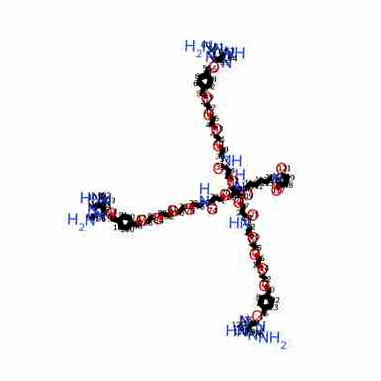 Nc1nc(OCc2ccc(COCCOCCOCCOCCNC(=O)CCOCC(COCCC(=O)NCCOCCOCCOCCOCc3ccc(COc4nc(N)nc5[nH]cnc45)cc3)(COCCC(=O)NCCOCCOCCOCCOCc3ccc(COc4nc(N)nc5[nH]cnc45)cc3)NC(=O)CCCCCN3C(=O)C=CC3=O)cc2)c2nc[nH]c2n1